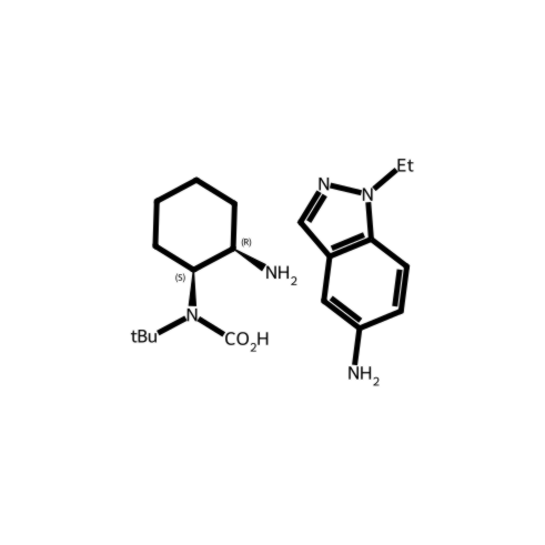 CC(C)(C)N(C(=O)O)[C@H]1CCCC[C@H]1N.CCn1ncc2cc(N)ccc21